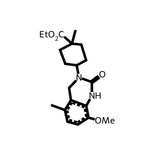 CCOC(=O)C1(C)CCC(N2Cc3c(C)ccc(OC)c3NC2=O)CC1